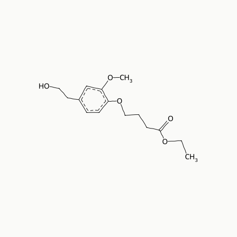 CCOC(=O)CCCOc1ccc(CCO)cc1OC